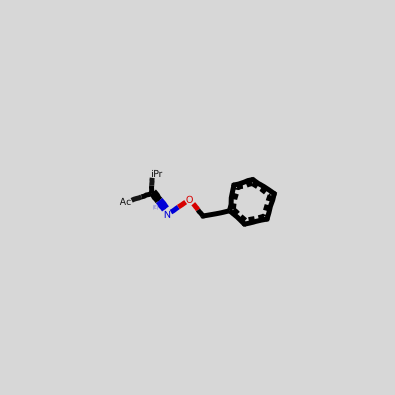 CC(=O)/C(=N/OCc1ccccc1)C(C)C